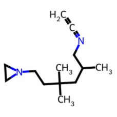 C=C=NCC(C)CC(C)(C)CCN1CC1